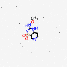 CONC1=NS(=O)(=O)c2cnccc2N1